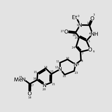 CCn1c(=O)[nH]c2oc(CN3CCN(c4ccc(C(=O)NC)nc4)CC3)cc2c1=O